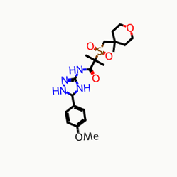 COc1ccc(C2NN=C(NC(=O)C(C)(C)S(=O)(=O)CC3(C)CCOCC3)N2)cc1